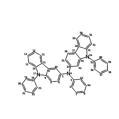 c1ccc(N(c2ccc3c(c2)c2ccccc2n3-c2ccccc2)c2ccc3c4ccccc4n(-c4ccccc4)c3c2)cc1